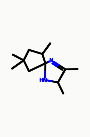 CC1=NC2(CC(C)(C)CC2C)NC1C